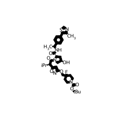 Cc1ncsc1-c1ccc([C@H](C)NC(=O)[C@@H]2C[C@@H](O)CN2C(=O)[C@@H](c2cc(OCC3(F)CCN(C(=O)OC(C)(C)C)CC3)no2)C(C)C)cc1